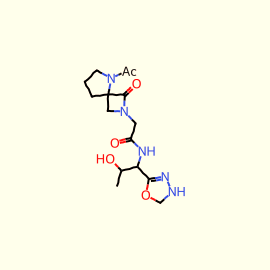 CC(=O)N1CCCC12CN(CC(=O)NC(C1=NNCO1)C(C)O)C2=O